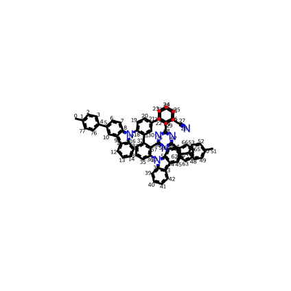 Cc1ccc(-c2ccc3c(c2)c2ccccc2n3-c2ccc(-c3cccc(C#N)c3)cc2-c2cccc(-n3c4ccccc4c4cc(-c5ccc(C)cc5)ccc43)c2-c2nc(-c3ccccc3)nc(-c3ccccc3)n2)cc1